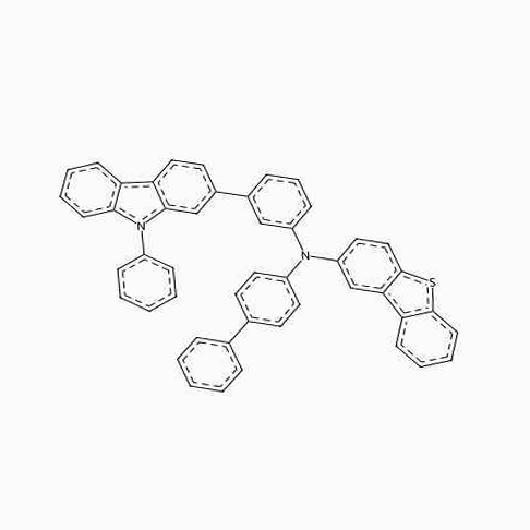 c1ccc(-c2ccc(N(c3cccc(-c4ccc5c6ccccc6n(-c6ccccc6)c5c4)c3)c3ccc4sc5ccccc5c4c3)cc2)cc1